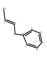 [CH]C=CCc1ccccc1